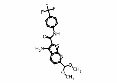 COC(OC)c1ccc2c(N)c(C(=O)Nc3ccc(C(F)(F)F)cc3)sc2n1